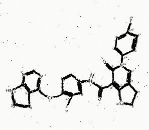 O=C(Nc1ccc(Oc2ncnc3c2CCN3)c(F)c1)c1c2c(cn(-c3ccc(F)cc3)c1=O)CCO2